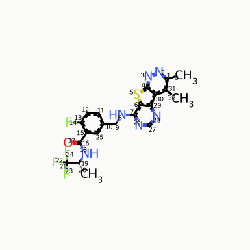 Cc1nnc2sc3c(NCc4ccc(F)c(C(=O)N[C@H](C)C(F)(F)F)c4)ncnc3c2c1C